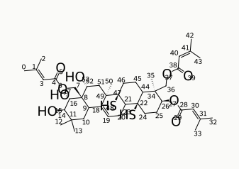 CC(C)=CC(=O)OC[C@@]12C(CC(C)(C)[C@@H](O)[C@@H]1O)C1=CCC3[C@@]4(S)CC[C@H](OC(=O)C=C(C)C)[C@](C)(COC(=O)C=C(C)C)C4CC[C@@]3(S)[C@]1(C)C[C@H]2O